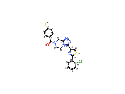 O=C(c1ccc(F)cc1)N1CCn2c(nnc2-c2csc(-c3ccccc3Cl)n2)C1